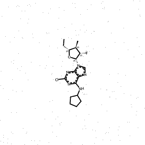 CC[C@H]1O[C@@H](n2cnc3c(NC4CCCC4)nc(Cl)nc32)[C@@H](F)[C@@H]1C